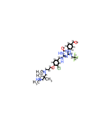 CNCC(C)(C)CN(C)CCCOc1ccc(CN/C(=N/C(=N\CC(F)(F)F)Nc2ccc(C=O)cc2)NC=O)cc1Cl